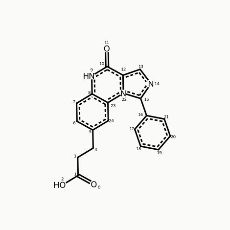 O=C(O)CCc1ccc2[nH]c(=O)c3cnc(-c4ccccc4)n3c2c1